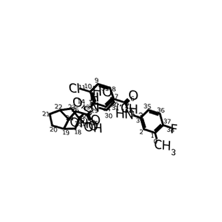 Cc1cc(NC(=O)c2ccc(Cl)c(S(=O)(=O)[C@]3(O)CC4CCC(C3)[C@@]4(O)CC(=O)NC[C@@H](C)O)c2)ccc1F